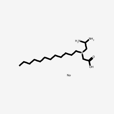 CCCCCCCCCCCCN(CC(=O)O)CC(N)N.[Na]